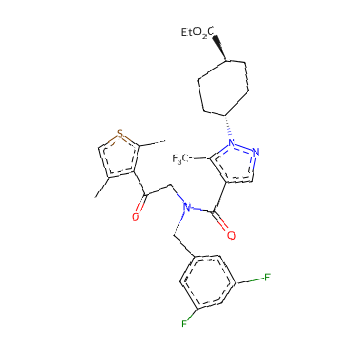 CCOC(=O)[C@H]1CC[C@H](n2ncc(C(=O)N(CC(=O)c3c(C)csc3C)Cc3cc(F)cc(F)c3)c2C(F)(F)F)CC1